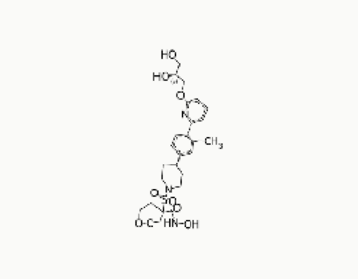 Cc1cc(C2CCN(S(=O)(=O)C3(C(=O)NO)CCOCC3)CC2)ccc1-c1cccc(OC[C@@H](O)CO)n1